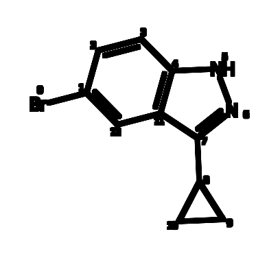 Brc1ccc2[nH]nc(C3CC3)c2c1